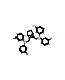 Fc1cccc(P(CC2C3CCC(C3)C2CP(c2cccc(F)c2)c2cccc(F)c2)c2cccc(F)c2)c1